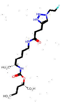 O=C(O)CC[C@H](OC(=O)N[C@@H](CCCCNC(=O)CCC1=CN(CCF)NN1)C(=O)O)C(=O)O